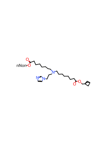 CCCCCCCCCOC(=O)CCCCCCCN(CCCCCCCC(=O)OCC12CC(C1)C2)CCCn1ccnc1